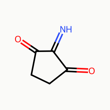 N=C1C(=O)CCC1=O